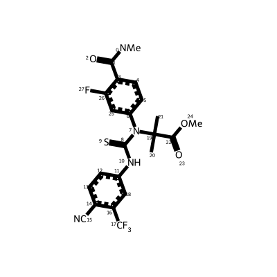 CNC(=O)c1ccc(N(C(=S)Nc2ccc(C#N)c(C(F)(F)F)c2)C(C)(C)C(=O)OC)cc1F